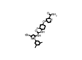 Cc1cc(C)cc(-n2nc(C(C)(C)C)cc2NC(=O)Nc2ccc(Oc3ccnc(C(N)=O)c3)cc2F)c1